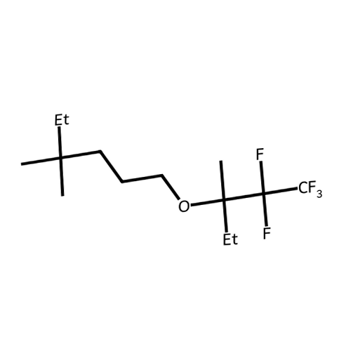 CCC(C)(C)CCCOC(C)(CC)C(F)(F)C(F)(F)F